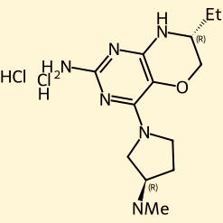 CC[C@@H]1COc2c(nc(N)nc2N2CC[C@@H](NC)C2)N1.Cl.Cl